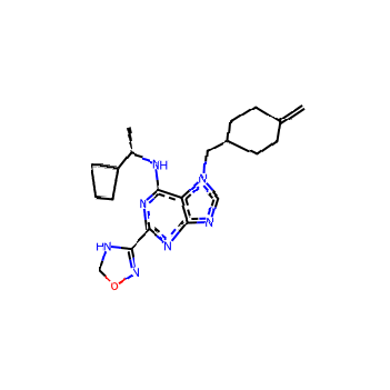 C=C1CCC(Cn2cnc3nc(C4=NOCN4)nc(N[C@H](C)C4CCC4)c32)CC1